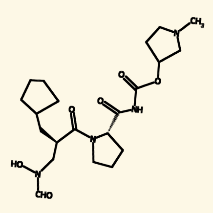 CN1CCC(OC(=O)NC(=O)[C@@H]2CCCN2C(=O)[C@H](CC2CCCC2)CN(O)C=O)C1